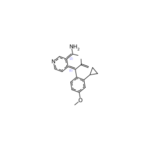 C=C(C)/C(c1ccc(OC)cc1C1CC1)=c1/ccnc/c1=C(/C)N